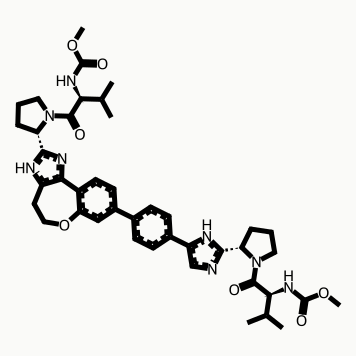 COC(=O)N[C@H](C(=O)N1CCC[C@H]1c1ncc(-c2ccc(-c3ccc4c(c3)OCCc3[nH]c([C@@H]5CCCN5C(=O)[C@@H](NC(=O)OC)C(C)C)nc3-4)cc2)[nH]1)C(C)C